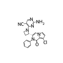 N#Cc1cnc(N)nc1N1CC[C@H]1c1cn2ccc(Cl)c2c(=O)n1-c1ccccc1